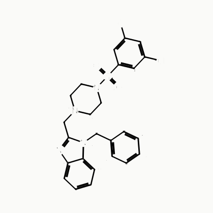 O=S(=O)(c1cc(Cl)cc(Cl)c1)N1CCN(Cc2nc3ccccc3n2Cc2ccccc2)CC1